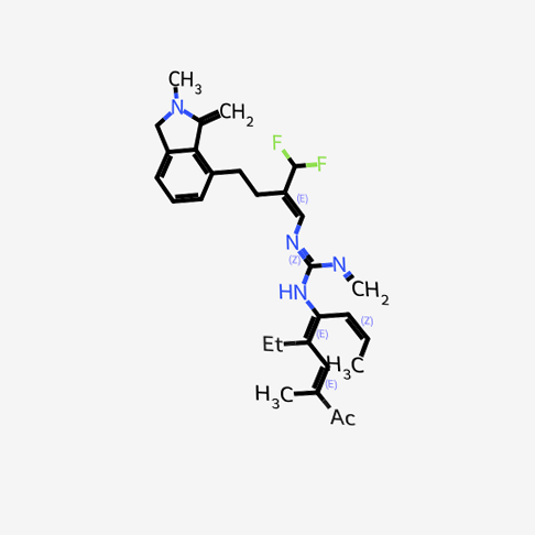 C=N/C(=N\C=C(/CCc1cccc2c1C(=C)N(C)C2)C(F)F)NC(/C=C\C)=C(/C=C(\C)C(C)=O)CC